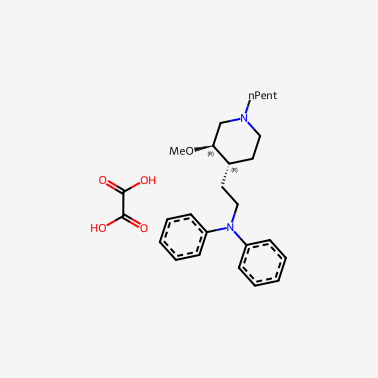 CCCCCN1CC[C@H](CCN(c2ccccc2)c2ccccc2)[C@@H](OC)C1.O=C(O)C(=O)O